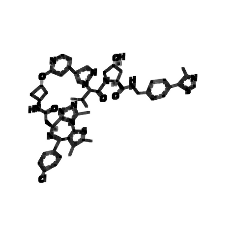 Cc1ncsc1-c1ccc(CNC(=O)[C@@H]2C[C@@H](O)CN2C(=O)C(C(C)C)n2cc(-c3ccnc(O[C@H]4C[C@H](NC(=O)C[C@@H]5N=C(c6ccc(Cl)cc6)c6c(sc(C)c6C)-n6c(C)nnc65)C4)c3)cn2)cc1